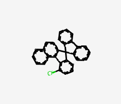 Clc1cccc2c1-c1c(ccc3ccccc13)C21c2ccccc2-c2ccccc21